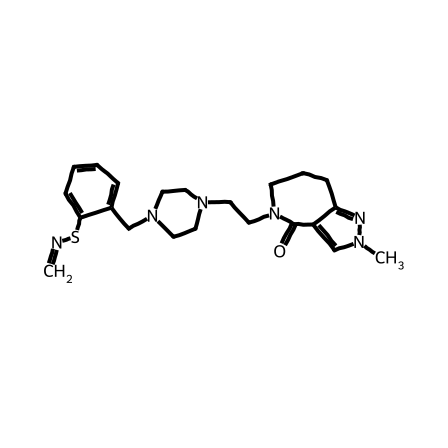 C=NSc1ccccc1CN1CCN(CCN2CCCc3nn(C)cc3C2=O)CC1